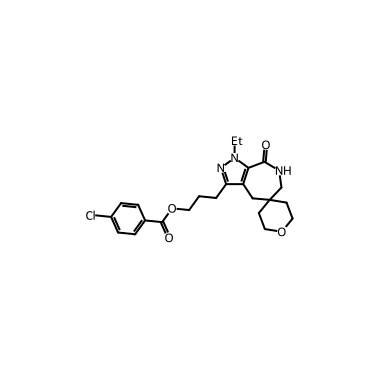 CCn1nc(CCCOC(=O)c2ccc(Cl)cc2)c2c1C(=O)NCC1(CCOCC1)C2